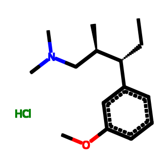 CC[C@H](c1cccc(OC)c1)[C@H](C)CN(C)C.Cl